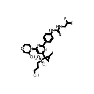 C[C@H]1COCCN1c1cc(C2(S(=O)(=O)CCCO)CC2I)nc(-c2ccc(NC(=S)NCC(F)F)cc2)n1